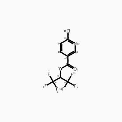 O=C(OC(C(F)(F)F)C(F)(F)F)c1ccc(Cl)nc1